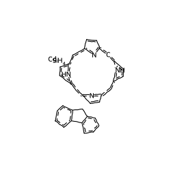 C1=Cc2cc3ccc(cc4nc(cc5ccc(cc1n2)[nH]5)C=C4)[nH]3.[Cd].[SiH4].c1ccc2c(c1)Cc1ccccc1-2